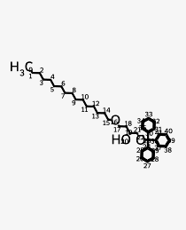 CCCCCCCCCCCCCCCCOCCC(O)COC(c1ccccc1)(c1ccccc1)c1ccccc1